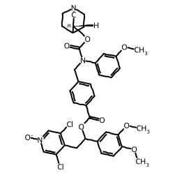 COc1cccc(N(Cc2ccc(C(=O)OC(Cc3c(Cl)c[n+]([O-])cc3Cl)c3ccc(OC)c(OC)c3)cc2)C(=O)O[C@H]2CN3CCC2CC3)c1